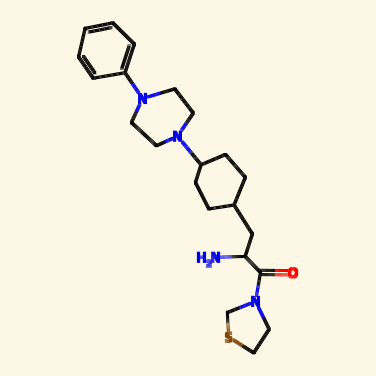 NC(CC1CCC(N2CCN(c3ccccc3)CC2)CC1)C(=O)N1CCSC1